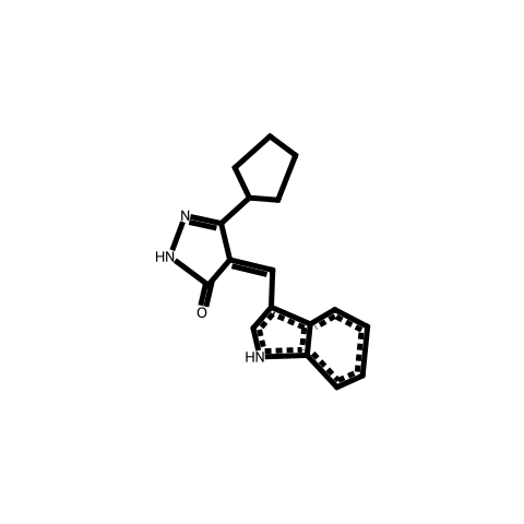 O=C1NN=C(C2CCCC2)/C1=C/c1c[nH]c2ccccc12